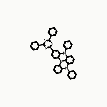 c1ccc(-c2nc(-c3ccccc3)nc(-c3ccc4c(c3)N(c3ccccc3)c3cccc5c3B4c3ccccc3N5c3ccccc3)n2)cc1